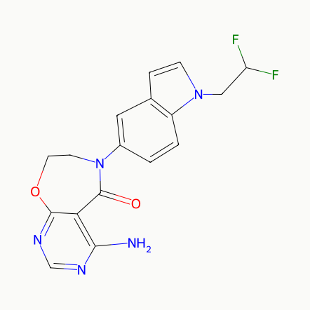 Nc1ncnc2c1C(=O)N(c1ccc3c(ccn3CC(F)F)c1)CCO2